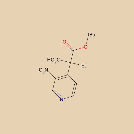 CCC(C(=O)O)(C(=O)OC(C)(C)C)c1ccncc1[N+](=O)[O-]